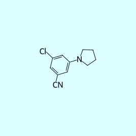 N#Cc1cc(Cl)cc(N2CCCC2)c1